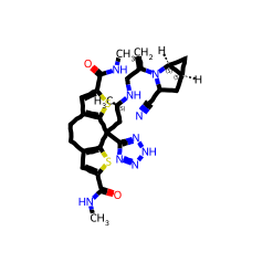 C=C(CN[C@@H](C)CC1(c2nn[nH]n2)c2sc(C(=O)NC)cc2CCc2cc(C(=O)NC)sc21)N1C(C#N)C[C@@H]2C[C@@H]21